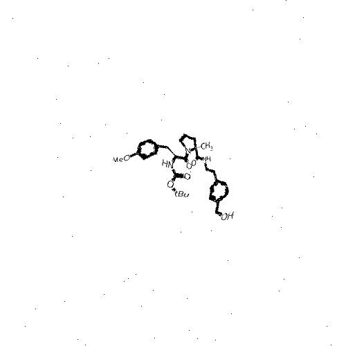 COc1ccc(C[C@H](NC(=O)OC(C)(C)C)C(=O)N2CCC[C@@]2(C)C(=O)NCCc2ccc(CO)cc2)cc1